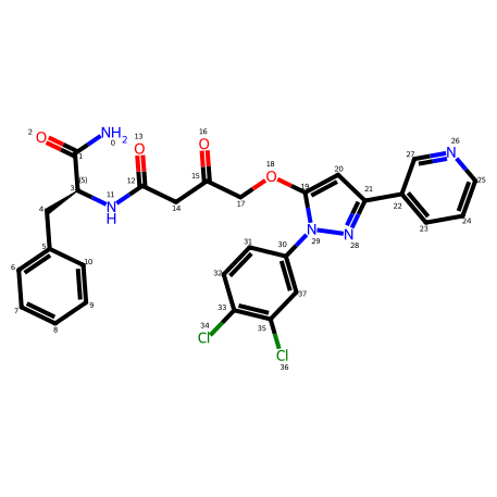 NC(=O)[C@H](Cc1ccccc1)NC(=O)CC(=O)COc1cc(-c2cccnc2)nn1-c1ccc(Cl)c(Cl)c1